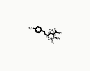 Cc1ccc(CC[C@@H](C)[C@@H](C)[C@@H](C(=O)C(C)C)N(C)C(C)C)cc1